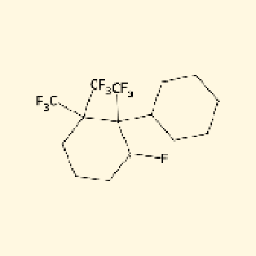 F[C]1CCCC(C(F)(F)F)(C(F)(F)F)C1(C1CCCCC1)C(F)(F)F